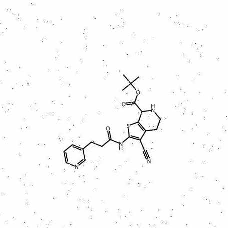 CC(C)(C)OC(=O)C1NCCc2c1sc(NC(=O)CCc1cccnc1)c2C#N